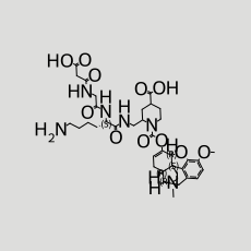 COc1ccc2c3c1O[C@H]1C(OC(=O)N4CCC(C(=O)O)CC4CNC(=O)[C@H](CCCCN)NC(=O)CNC(=O)CC(=O)O)=CC[C@H]4[C@@H](C2)N(C)CC[C@]314